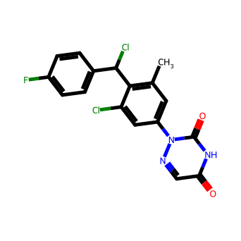 Cc1cc(-n2ncc(=O)[nH]c2=O)cc(Cl)c1C(Cl)c1ccc(F)cc1